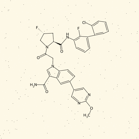 COc1ncc(-c2ccc3c(c2)c(C(N)=O)cn3CC(=O)N2C[C@H](F)C[C@H]2C(=O)Nc2cccc(-c3ccccc3Cl)c2F)cn1